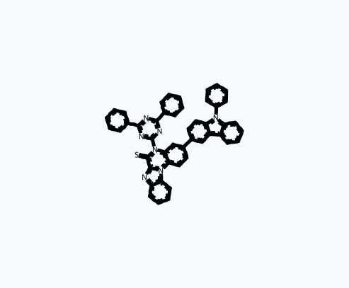 S=c1c2nc3ccccc3n2c2ccc(-c3ccc4c(c3)c3ccccc3n4-c3ccccc3)cc2n1-c1nc(-c2ccccc2)nc(-c2ccccc2)n1